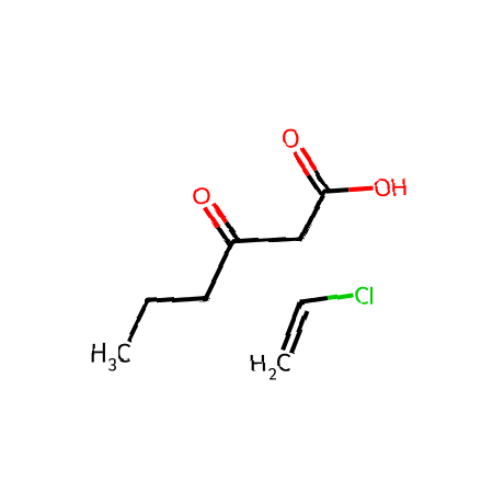 C=CCl.CCCC(=O)CC(=O)O